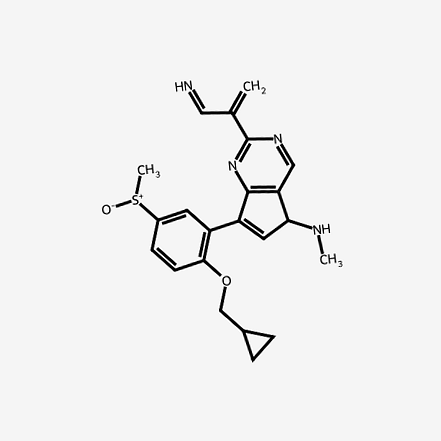 C=C(C=N)c1ncc2c(n1)C(c1cc([S+](C)[O-])ccc1OCC1CC1)=CC2NC